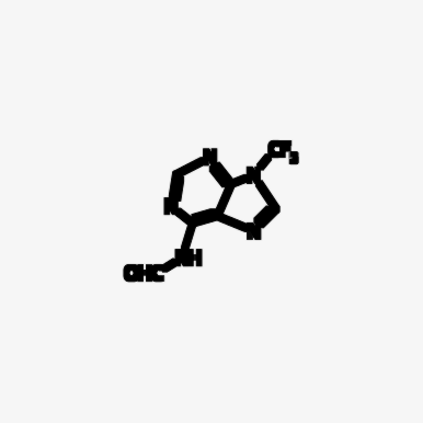 O=CNc1ncnc2c1ncn2C(F)(F)F